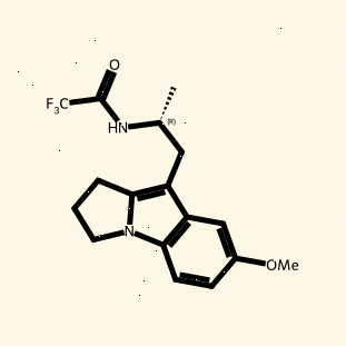 COc1ccc2c(c1)c(C[C@@H](C)NC(=O)C(F)(F)F)c1n2CCC1